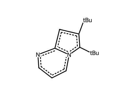 CC(C)(C)c1cc2ncccn2c1C(C)(C)C